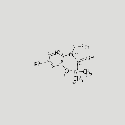 CC(C)c1cnc2c(c1)OC(C)(C)C(=O)N2CC(F)(F)F